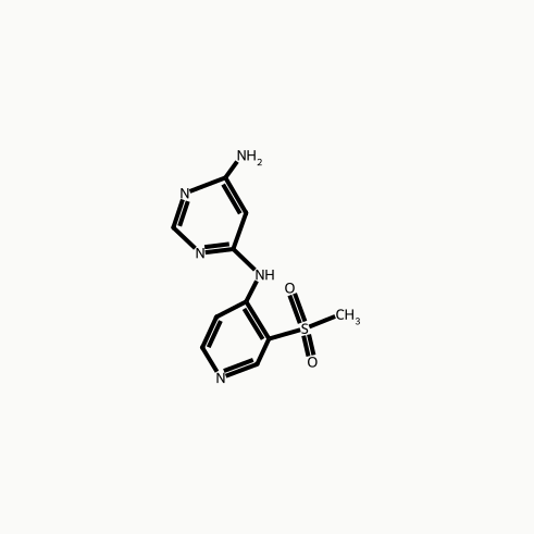 CS(=O)(=O)c1cnccc1Nc1cc(N)ncn1